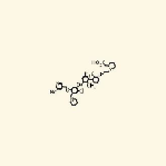 Cc1c(COc2cc(OCc3cncc(C#N)c3)c(CN3CCCCC3)cc2Cl)cccc1-c1cccc(OCCCN2CCCCC2CC(=O)O)c1C